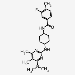 Cc1ccc(C(=O)NC2CCC(Nc3nc(C)c(C)c(N(C)C)n3)CC2)cc1F